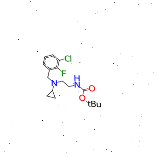 CC(C)(C)OC(=O)NCCN(Cc1cccc(Cl)c1F)C1CC1